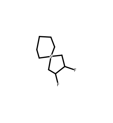 FC1CS2(CCCCC2)CC1F